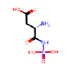 N[C@@H](CC(=O)O)C(=O)NP(=O)(O)O